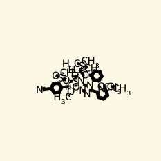 COc1cccc(-c2nnc(N(CC[Si](C)(C)C)S(=O)(=O)C[C@H](OC)c3ccc(C#N)cc3S(C)(=O)=O)n2-c2c(OC)cccc2OC)n1